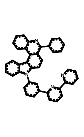 c1ccc(-c2nc3ccccc3c3c2ccc2c3c3ccccc3n2-c2cccc(-c3cccc(-c4ccccn4)n3)c2)cc1